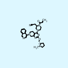 C=CC(=O)N1CCN(c2nc(OC[C@@H]3CCCN3C)nc3c2CCN(c2cncc4ccccc24)C3)CC1CC#N